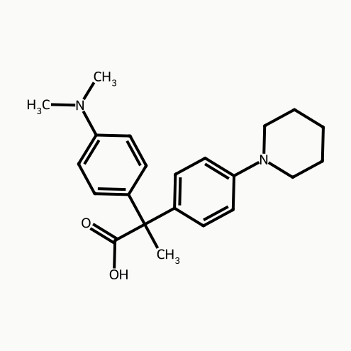 CN(C)c1ccc(C(C)(C(=O)O)c2ccc(N3CCCCC3)cc2)cc1